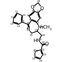 CN1c2cc3c(cc2C(c2ccccc2)=NCC1CNC(=O)c1cccs1)OCO3